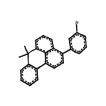 CC1(C)c2ccccc2-c2ccc(-c3cccc(Br)c3)c3cccc1c23